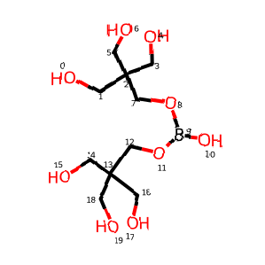 OCC(CO)(CO)COB(O)OCC(CO)(CO)CO